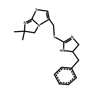 CC1(C)CN2C(CSC3=NCC(Cc4ccccc4)N3)=CSC2=N1